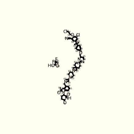 Cn1c(=O)n(C2CCC(=O)NC2=O)c2cccc(CN3CC(N4CCC(N5CC6(CCN(c7nccc(COc8ccc(C(C)(C)c9cc(Cl)c(OCCCl)c(C#N)c9)cc8)n7)CC6)C5)CC4)C3)c21.O=C(O)C(F)(F)F